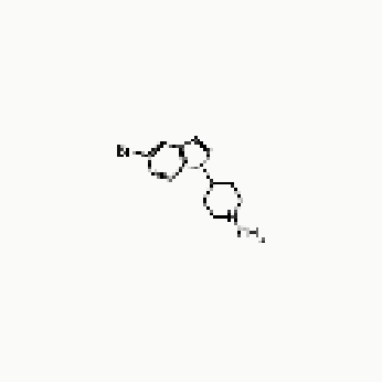 CN1CCC(n2ccc3cc(Br)ccc32)CC1